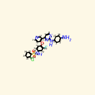 NC1CCC(Nc2nccc(-c3cnccc3Oc3ccc(NS(=O)(=O)c4ccccc4Cl)cc3F)n2)CC1